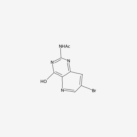 CC(=O)Nc1nc(O)c2ncc(Br)cc2n1